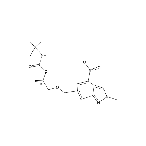 C[C@H](COCc1cc([N+](=O)[O-])c2cn(C)nc2c1)OC(=O)NC(C)(C)C